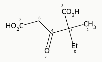 CCC(C)(C(=O)O)C(=O)CC(=O)O